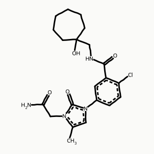 Cc1cn(-c2ccc(Cl)c(C(=O)NCC3(O)CCCCCC3)c2)c(=O)n1CC(N)=O